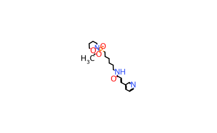 CCOP(=O)(CCCCCCNC(=O)/C=C/c1cccnc1)N1CCCCO1